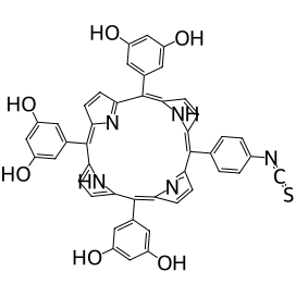 Oc1cc(O)cc(-c2c3nc(c(-c4cc(O)cc(O)c4)c4ccc([nH]4)c(-c4cc(O)cc(O)c4)c4nc(c(-c5ccc(N=C=S)cc5)c5ccc2[nH]5)C=C4)C=C3)c1